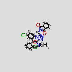 CCN(C)Cc1nnc(CN2C(=O)c3ccccc3C2=O)n1-c1ccc(Cl)cc1C(=O)c1ccccc1Cl